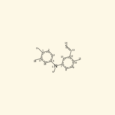 Cc1ccc(N(C)c2ccc(C)c(C=S)c2)cc1C